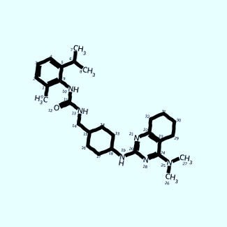 Cc1cccc(C(C)C)c1NC(=O)NCC1CCC(Nc2nc3c(c(N(C)C)n2)CCCC3)CC1